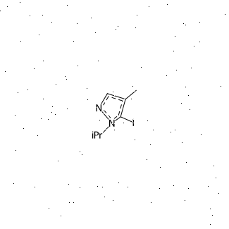 Cc1cnn(C(C)C)c1I